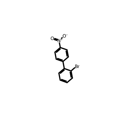 O=[N+]([O-])c1ccc(-c2ccccc2Br)cc1